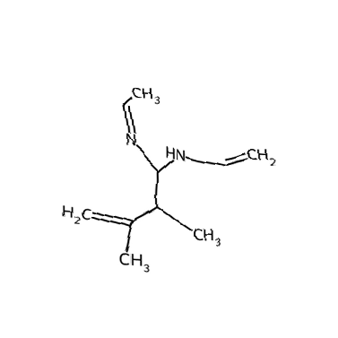 C=CNC(/N=C\C)C(C)C(=C)C